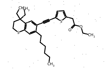 CCCCCCc1cc2c(cc1C#Cc1ccc(CC(=O)OCC)s1)C(CC)(CC)CCS2